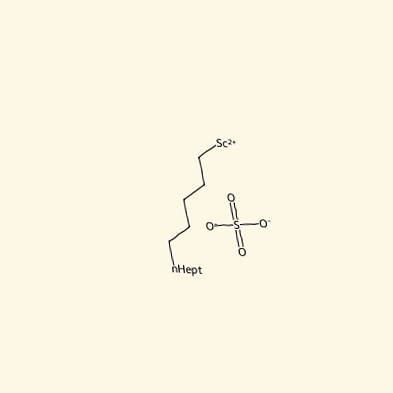 CCCCCCCCCCC[CH2][Sc+2].O=S(=O)([O-])[O-]